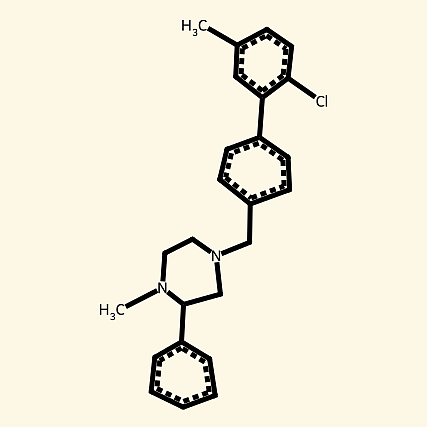 Cc1ccc(Cl)c(-c2ccc(CN3CCN(C)C(c4ccccc4)C3)cc2)c1